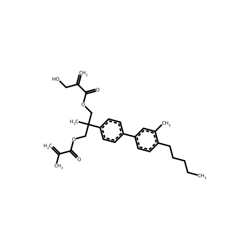 C=C(C)C(=O)OCC(C)(COC(=O)C(=C)CO)c1ccc(-c2ccc(CCCCC)c(C)c2)cc1